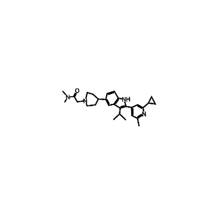 Cc1cc(-c2[nH]c3ccc(C4CCN(CC(=O)N(C)C)CC4)cc3c2C(C)C)cc(C2CC2)n1